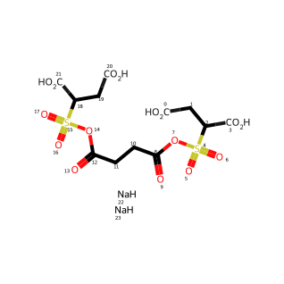 O=C(O)CC(C(=O)O)S(=O)(=O)OC(=O)CCC(=O)OS(=O)(=O)C(CC(=O)O)C(=O)O.[NaH].[NaH]